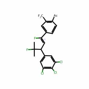 CC(=O)c1ccc(/C(F)=C/C(c2cc(Cl)c(Cl)c(Cl)c2)C(C)(C)F)cc1C(F)(F)F